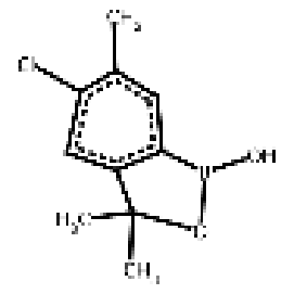 Cc1cc2c(cc1Cl)C(C)(C)OB2O